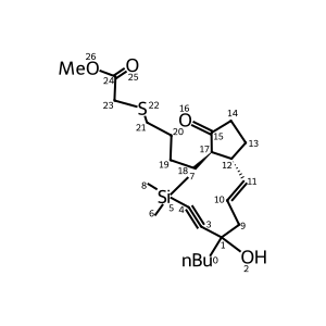 CCCCC(O)(C#C[Si](C)(C)C)CC=C[C@H]1CCC(=O)[C@@H]1CCCCSCC(=O)OC